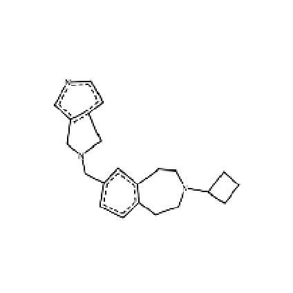 c1cc2c(cn1)CN(Cc1ccc3c(c1)CCN(C1CCC1)CC3)C2